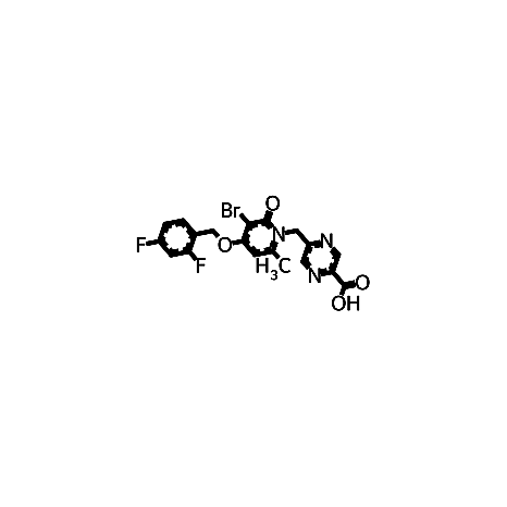 Cc1cc(OCc2ccc(F)cc2F)c(Br)c(=O)n1Cc1cnc(C(=O)O)cn1